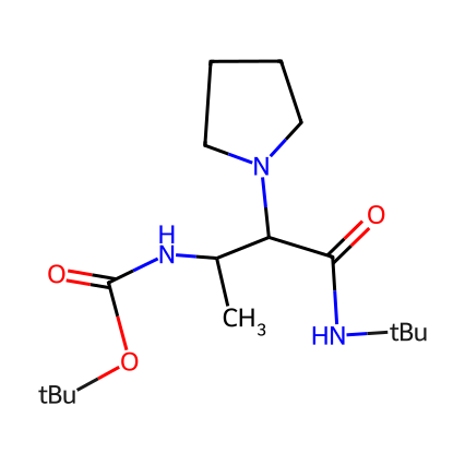 CC(NC(=O)OC(C)(C)C)C(C(=O)NC(C)(C)C)N1CCCC1